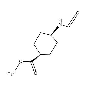 COC(=O)[C@H]1CC[C@@H](NC=O)CC1